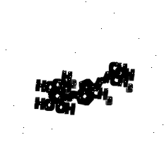 C=C1/C(=C\C=C2/CCC[C@]3(C)C(CCCCC(C)(C)O)CCC23)C(O)C(O)CC1(O)O